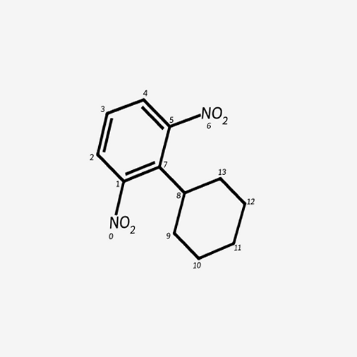 O=[N+]([O-])c1cccc([N+](=O)[O-])c1C1CCCCC1